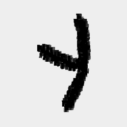 O=P(OC(F)(F)C(F)(F)C(F)(F)C(F)(F)C(F)(F)C(F)(F)C(F)(F)C(F)(F)C(F)(F)C(F)(F)F)(OC(F)(F)C(F)(F)C(F)(F)C(F)(F)C(F)(F)C(F)(F)C(F)(F)C(F)(F)C(F)(F)C(F)(F)F)OC(F)(F)C(F)(F)C(F)(F)C(F)(F)C(F)(F)C(F)(F)C(F)(F)C(F)(F)C(F)(F)C(F)(F)F